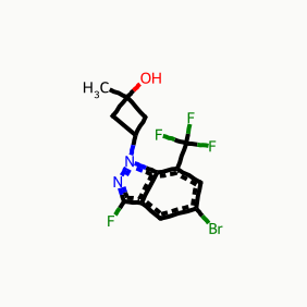 CC1(O)CC(n2nc(F)c3cc(Br)cc(C(F)(F)F)c32)C1